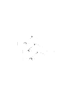 CCCCCCCCC1SC1CCCCCCC(CCS)C(=O)[O-].CCCCCCCCC1SC1CCCCCCC(CCS)C(=O)[O-].CCCCCCCCC1SC1CCCCCCC(CCS)C(=O)[O-].CCC[CH2][Sn+3]